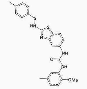 COc1ccc(C)cc1NC(=O)Nc1ccc2sc(NSc3ccc(C)cc3)nc2c1